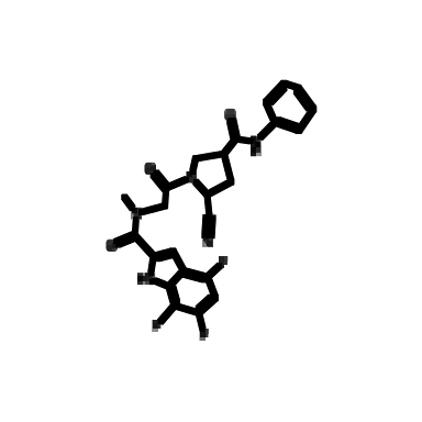 CN(CC(=O)N1CC(C(=O)Nc2ccccc2)CC1C#N)C(=O)c1cc2c(F)cc(F)c(F)c2[nH]1